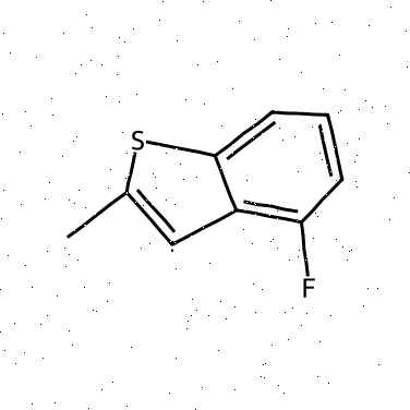 Cc1[c]c2c(F)cccc2s1